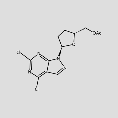 CC(=O)OC[C@H]1CC[C@H](n2ncc3c(Cl)nc(Cl)nc32)O1